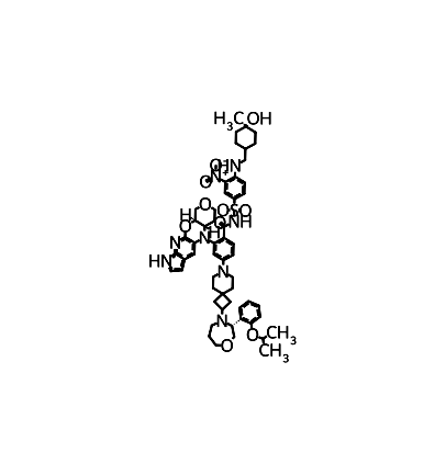 CC(C)Oc1ccccc1[C@@H]1COCCCN1C1CC2(CCN(c3ccc(C(=O)NS(=O)(=O)c4ccc(NCC5CCC(C)(O)CC5)c([N+](=O)[O-])c4)c(N4c5cc6cc[nH]c6nc5O[C@H]5COCC[C@@H]54)c3)CC2)C1